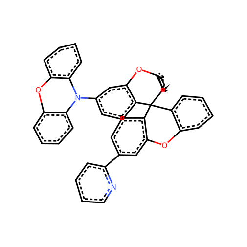 c1ccc(-c2ccc3c(c2)Oc2ccccc2C32c3ccccc3Oc3cc(N4c5ccccc5Oc5ccccc54)ccc32)nc1